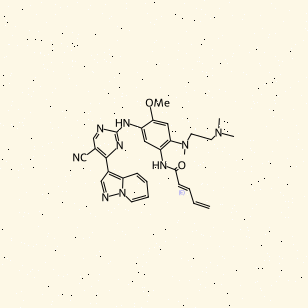 C=C/C=C/C(=O)Nc1cc(Nc2ncc(C#N)c(-c3cnn4ccccc34)n2)c(OC)cc1N(C)CCN(C)C